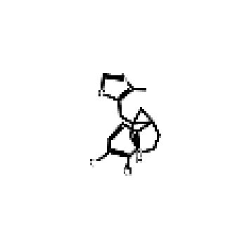 Cc1ncoc1CC12CNCCC1(c1ccc(Cl)c(Cl)c1)C2